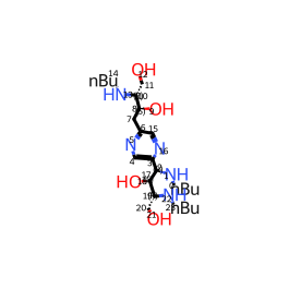 CCCCN[C@H](c1cnc(C[C@H](O)[C@@H](CO)NCCCC)cn1)[C@H](O)[C@@H](CO)NCCCC